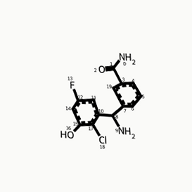 NC(=O)c1cccc(C(N)c2cc(F)cc(O)c2Cl)c1